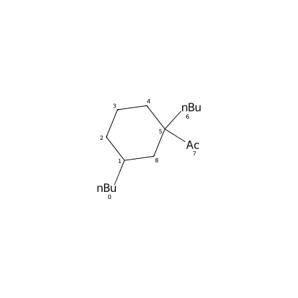 CCCCC1CCCC(CCCC)(C(C)=O)C1